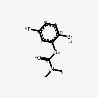 CN(C)C(=O)Sc1cc(F)ccc1Br